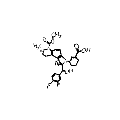 COC(=O)N1c2ccc3c(nc(C(O)c4ccc(F)c(F)c4)n3C3CCCC(C(=O)O)C3)c2CC[C@@H]1C